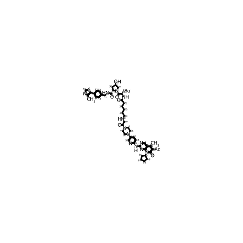 CC(=O)c1c(C)c2cnc(Nc3ccc(N4CCN(C(=O)CNCCCCCC(=O)N[C@H](C(=O)N5C[C@H](O)C[C@H]5C(=O)NCc5ccc(-c6scnc6C)cc5)C(C)(C)C)CC4)cn3)nc2n(C2CCCC2)c1=O